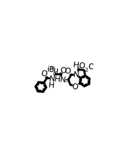 CC[C@H](C)[C@H](NC(=O)c1ccccc1)C(=O)N[C@H]1COc2cccc3c2N(C1=O)[C@H](C(=O)O)C3